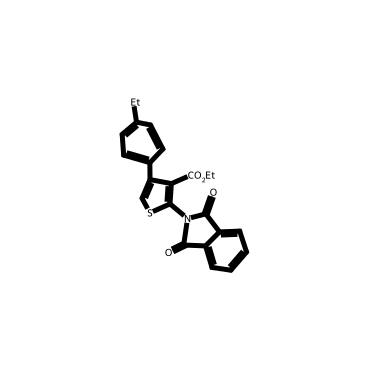 CCOC(=O)c1c(-c2ccc(CC)cc2)csc1N1C(=O)c2ccccc2C1=O